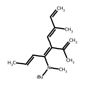 C=C/C(C)=C/C(C(=C)C)=C(\C=C\C)N(C)C(C)CC